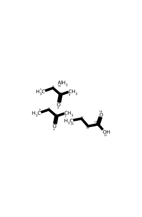 CCC(C)=O.CCC(C)=O.CCCC(=O)O.[AlH3]